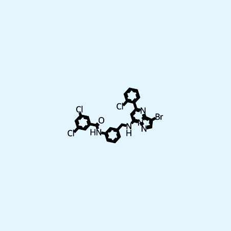 O=C(Nc1cccc(CNc2cc(-c3ccccc3Cl)nc3c(Br)cnn23)c1)c1cc(Cl)cc(Cl)c1